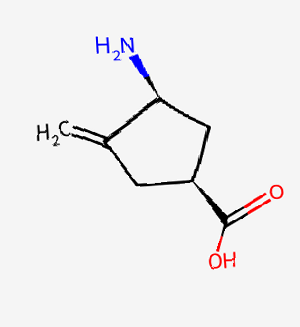 C=C1C[C@H](C(=O)O)C[C@@H]1N